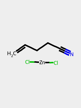 C=CCCC#N.[Cl][Zn][Cl]